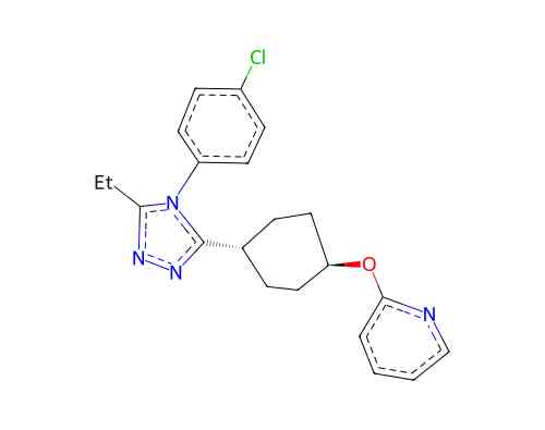 CCc1nnc([C@H]2CC[C@H](Oc3ccccn3)CC2)n1-c1ccc(Cl)cc1